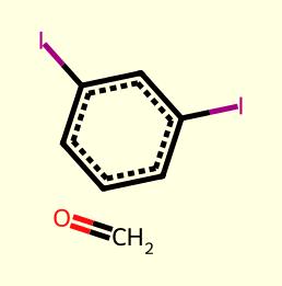 C=O.Ic1cccc(I)c1